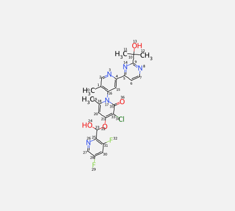 Cc1cnc(-c2ccnc(C(C)(C)O)n2)cc1-n1c(C)cc(OC(O)c2ncc(F)cc2F)c(Cl)c1=O